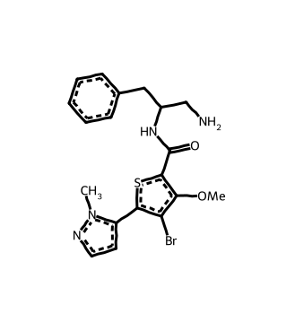 COc1c(C(=O)NC(CN)Cc2ccccc2)sc(-c2ccnn2C)c1Br